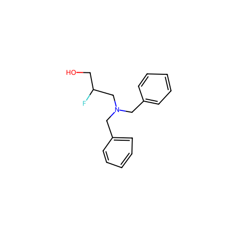 OCC(F)CN(Cc1ccccc1)Cc1ccccc1